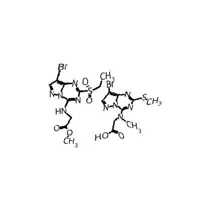 CCS(=O)(=O)c1nc(NCC(=O)OC)n2ncc(Br)c2n1.CSc1nc(N(C)CC(=O)O)n2ncc(Br)c2n1